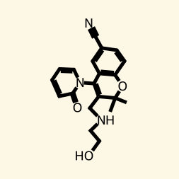 CC1(C)Oc2ccc(C#N)cc2C(n2ccccc2=O)=C1CNCCO